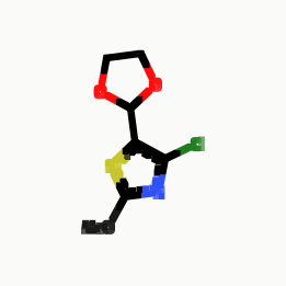 COc1nc(Cl)c(C2OCCO2)s1